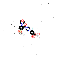 CS(=O)(=O)c1ccc(N2CCOCC2)c(C(=O)N2CCN(c3ccc(C(O)(O)C(F)(F)F)cc3F)CC2)c1